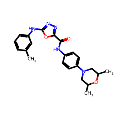 Cc1cccc(Nc2nnc(C(=O)Nc3ccc(N4CC(C)OC(C)C4)cc3)o2)c1